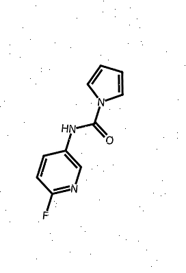 O=C(Nc1ccc(F)nc1)n1cccc1